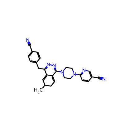 CC1C=c2c(Cc3ccc(C#N)cc3)nnc(N3CCN(c4ccc(C#N)cn4)CC3)c2=CC1